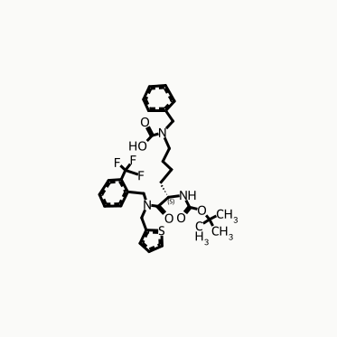 CC(C)(C)OC(=O)N[C@@H](CCCCN(Cc1ccccc1)C(=O)O)C(=O)N(Cc1cccs1)Cc1ccccc1C(F)(F)F